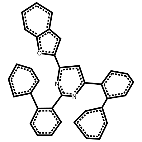 c1ccc(-c2ccccc2-c2cc(-c3cc4ccccc4o3)nc(-c3ccccc3-c3ccccc3)n2)cc1